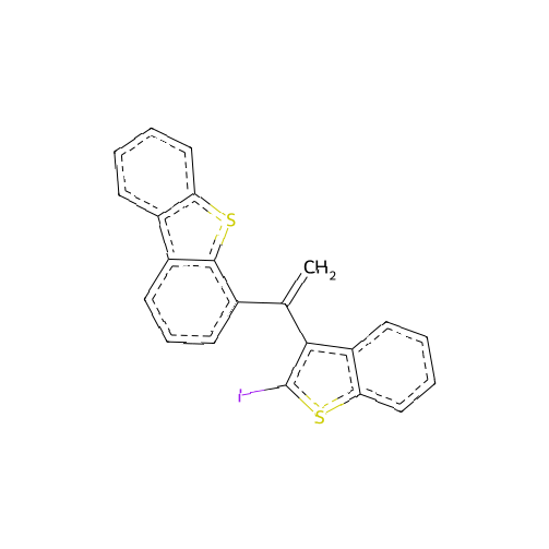 C=C(c1c(I)sc2ccccc12)c1cccc2c1sc1ccccc12